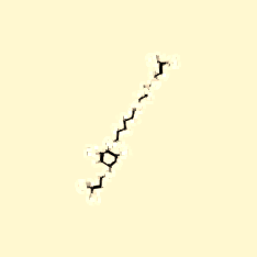 CCc1cc(OCC=C(Cl)Cl)cc(CC)c1OCCCCCCOC/C=N/OCC=C(Cl)Cl